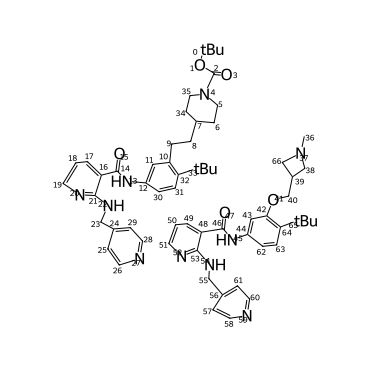 CC(C)(C)OC(=O)N1CCC(CCc2cc(NC(=O)c3cccnc3NCc3ccncc3)ccc2C(C)(C)C)CC1.CN1CC(COc2cc(NC(=O)c3cccnc3NCc3ccncc3)ccc2C(C)(C)C)C1